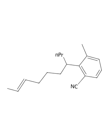 CC=CCCCC(CCC)c1c(C)cccc1C#N